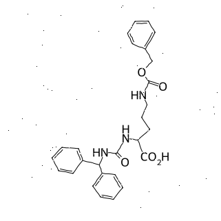 O=C(NC(CCCNC(=O)OCc1ccccc1)C(=O)O)NC(c1ccccc1)c1ccccc1